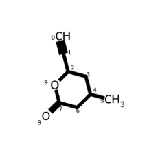 C#CC1CC(C)CC(=O)O1